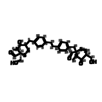 CN1C(=O)C(Cc2ccc(CCc3ccc(C[C@@]4(C=O)SSC(CO)C(=O)N4C)cc3)cc2)SS[C@]1(C=O)CO